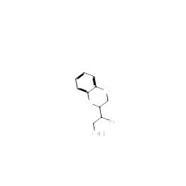 OCC(Br)C1COc2ccccc2O1